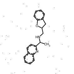 CC(NCC1Cc2ccccc2O1)c1ccc2ccccc2n1